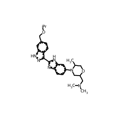 CC(C)OCc1ccc2c(-c3nc4ccc(N5CC(CN(C)C)OCC5C)cc4[nH]3)n[nH]c2c1